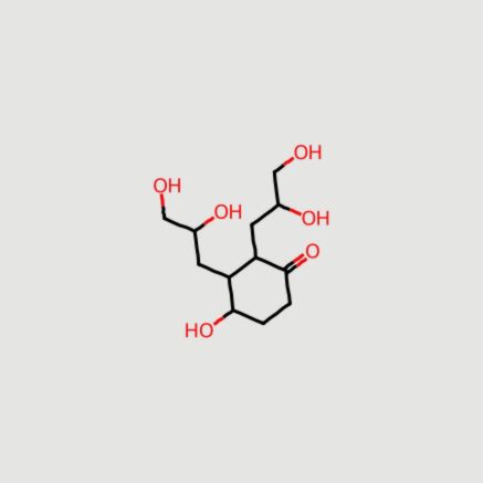 O=C1CCC(O)C(CC(O)CO)C1CC(O)CO